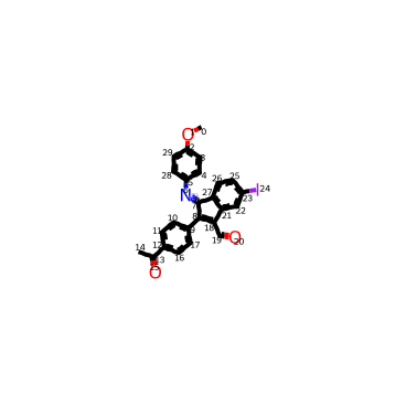 COc1ccc(/N=C2/C(c3ccc(C(C)=O)cc3)=C(C=O)c3cc(I)ccc32)cc1